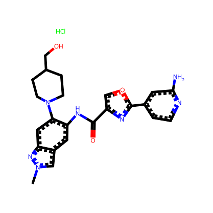 Cl.Cn1cc2cc(NC(=O)c3coc(-c4ccnc(N)c4)n3)c(N3CCC(CO)CC3)cc2n1